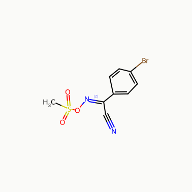 CS(=O)(=O)O/N=C(\C#N)c1ccc(Br)cc1